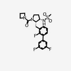 CS(=O)(=O)N[C@H]1CCN(C(=O)N2CCC2)[C@H]1Cc1cccc(-c2cc(F)cc(F)c2)c1F